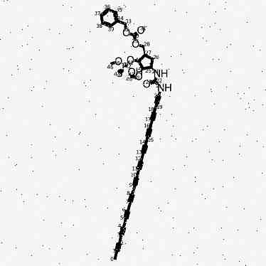 CC#CC#CC#CC#CC#CC#CC#CC#CC#CC#CNC(=O)N[C@@H]1C[C@H](COC(=O)OCc2ccccc2)C(OP(O)(=S)OC)[C@@H]1OC